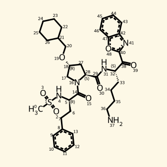 CS(=O)(=O)N[C@H](CCc1ccccc1)C(=O)N1C[C@H](OCC2CCCCC2)C[C@H]1C(=O)N[C@@H](CCCCN)C(=O)c1nc2ccccc2o1